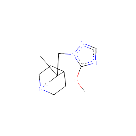 COc1ncnn1CC1(C)CN2CCC1CC2